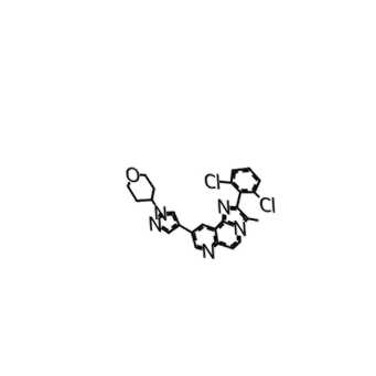 Cc1c(-c2c(Cl)cccc2Cl)nc2c3cc(-c4cnn(C5CCOCC5)c4)cnc3ccn12